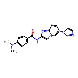 CN(C)c1ccc(C(=O)Nc2cn3cc(-n4ccnc4)ccc3n2)cc1